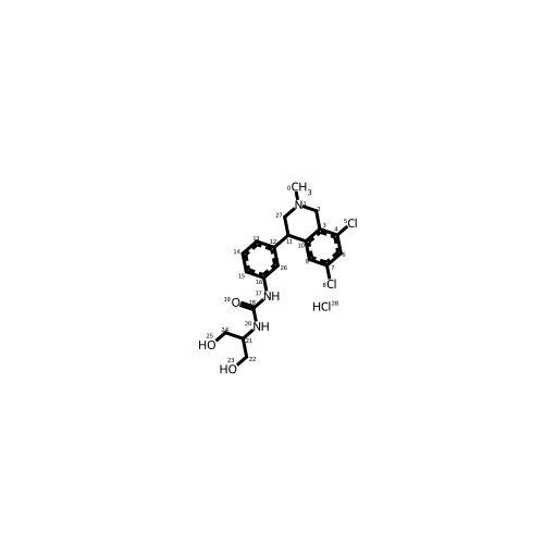 CN1Cc2c(Cl)cc(Cl)cc2C(c2cccc(NC(=O)NC(CO)CO)c2)C1.Cl